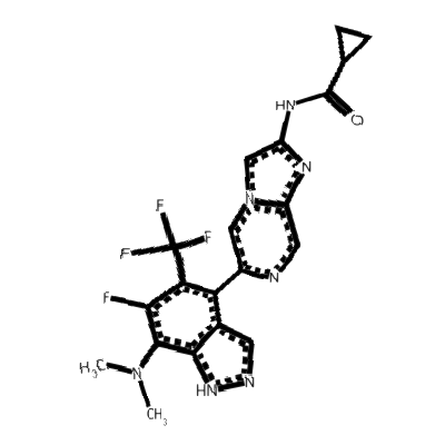 CN(C)c1c(F)c(C(F)(F)F)c(-c2cn3cc(NC(=O)C4CC4)nc3cn2)c2cn[nH]c12